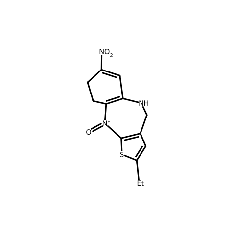 CCc1cc2c(s1)[N+](=O)C1=C(C=C([N+](=O)[O-])CC1)NC2